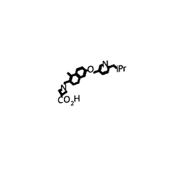 CC1=C(CN2CC(C(=O)O)C2)CCc2cc(OCc3ccc(CC(C)C)nc3)ccc21